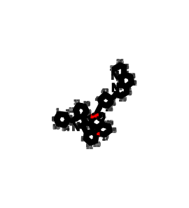 c1ccc(-c2nc3c(c4ccccc24)C2(c4ccccc4Oc4c(-c5ccc(-c6ccc7ccc8cccnc8c7n6)cc5)cccc42)c2ccccc2-3)cc1